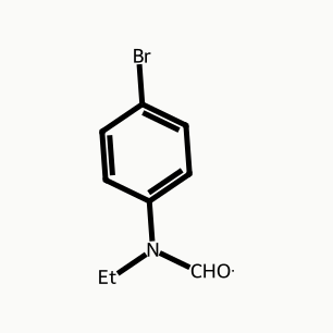 CCN([C]=O)c1ccc(Br)cc1